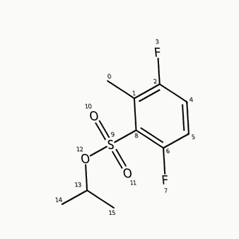 Cc1c(F)ccc(F)c1S(=O)(=O)OC(C)C